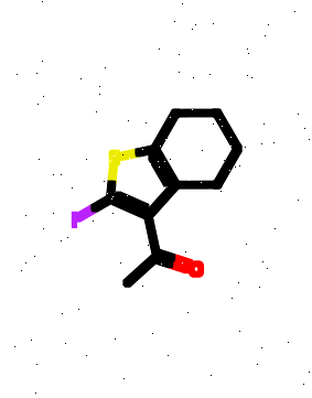 CC(=O)c1c(I)sc2c1CCCC2